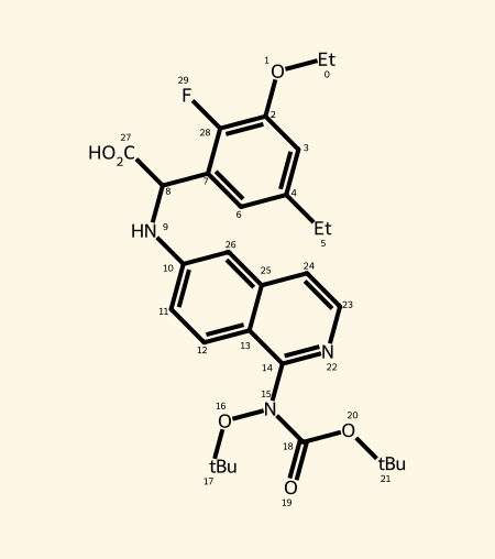 CCOc1cc(CC)cc(C(Nc2ccc3c(N(OC(C)(C)C)C(=O)OC(C)(C)C)nccc3c2)C(=O)O)c1F